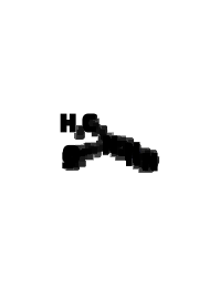 CCCCCCN(CCCCCCC1CCSO1)c1ccc(/N=N/c2ccncc2)cc1